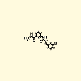 CNC(=O)c1cccc(NC(=O)COc2cccc(Cl)c2)c1